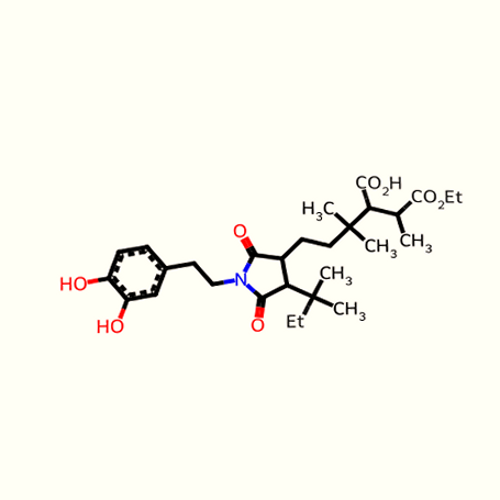 CCOC(=O)C(C)C(C(=O)O)C(C)(C)CCC1C(=O)N(CCc2ccc(O)c(O)c2)C(=O)C1C(C)(C)CC